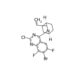 C=CC1[C@H]2CC[C@H](CC2)N1c1nc(Cl)nc2c(F)c(Br)c(F)cc12